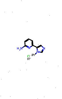 CC(C)n1cncc1-c1cccc(N)n1.[Cl-].[H+]